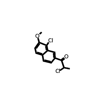 COc1ccc2ccc(C(=O)C(C)Cl)cc2c1Cl